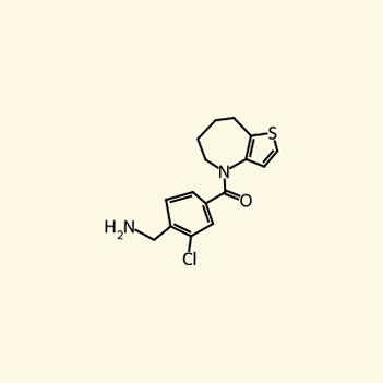 NCc1ccc(C(=O)N2CCCCc3sccc32)cc1Cl